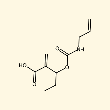 C=CCNC(=O)OC(CC)C(=C)C(=O)O